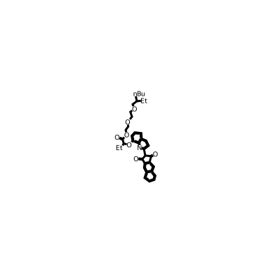 CCCCC(CC)COCCOCCOC(=O)C(CC)Oc1cccc2ccc(C3C(=O)c4cc5ccccc5cc4C3=O)nc12